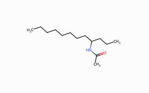 CCCCCCCCC(CCC)NC(C)=O